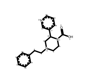 O=C(O)N1CCN(CCc2ccccc2)CC1c1cccnc1